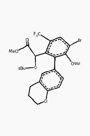 COC(=O)C(OC(C)(C)C)c1c(C(F)(F)F)cc(Br)c(OC)c1-c1ccc2c(c1)CCCO2